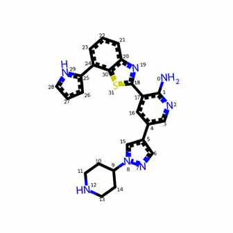 Nc1ncc(-c2cnn(C3CCNCC3)c2)cc1-c1nc2cccc(-c3ccc[nH]3)c2s1